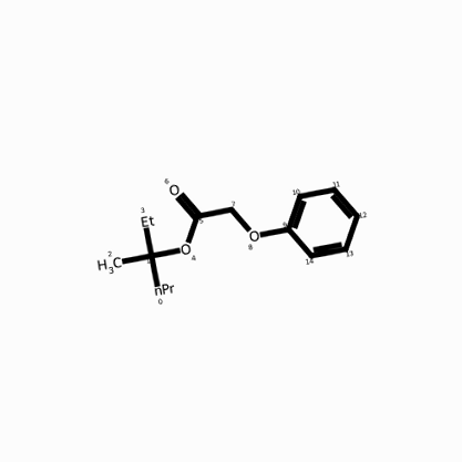 CCCC(C)(CC)OC(=O)COc1ccccc1